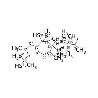 BC(C)(S)CC(C)SC1CC=C(C)C(CS)(CC(C)(C)C(C)(C)CC)C(B)(C)C1S